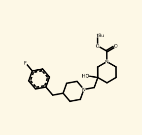 CC(C)(C)OC(=O)N1CCCC(O)(CN2CCC(Cc3ccc(F)cc3)CC2)C1